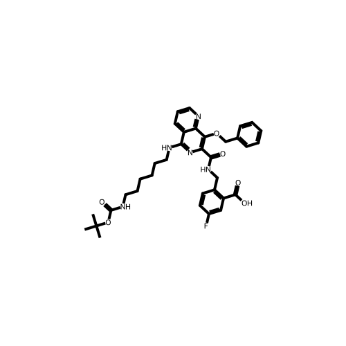 CC(C)(C)OC(=O)NCCCCCCNc1nc(C(=O)NCc2ccc(F)cc2C(=O)O)c(OCc2ccccc2)c2ncccc12